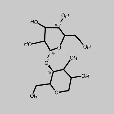 OCC1O[C@H](O[C@@H]2C(CO)OCC(O)C2O)C(O)C(O)[C@@H]1O